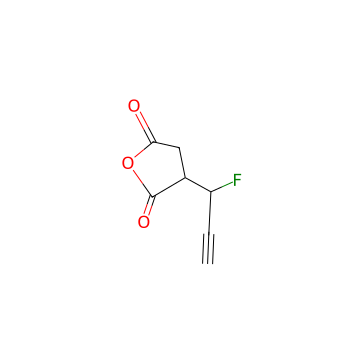 C#CC(F)C1CC(=O)OC1=O